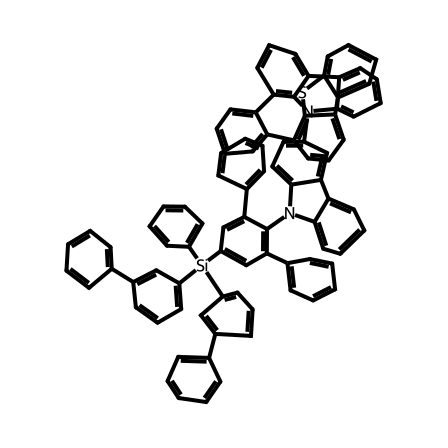 c1ccc(-c2cccc([Si](c3ccccc3)(c3cccc(-c4ccccc4)c3)c3cc(-c4ccccc4)c(-n4c5ccccc5c5cc(-n6c7ccccc7c7cccc(-c8ccccc8-c8cccc9c8sc8ccccc89)c76)ccc54)c(-c4ccccc4)c3)c2)cc1